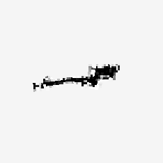 CN(C[C]=O)C(=O)CN(C)C(=O)CN(C)C(=O)CC[C@H](NC(=O)CCCCCCCCCCCCCCCCC(=O)O)C(=O)O